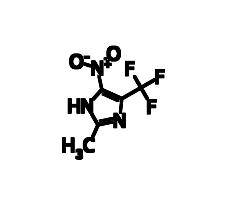 Cc1nc(C(F)(F)F)c([N+](=O)[O-])[nH]1